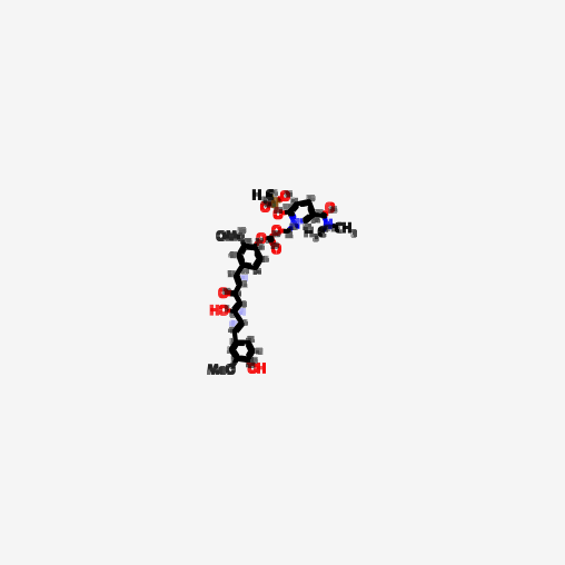 COc1cc(/C=C/C(O)=C/C(=O)/C=C/c2ccc(OC(=O)OC[n+]3cc(C(=O)N(C)C)ccc3OS(C)(=O)=O)c(OC)c2)ccc1O